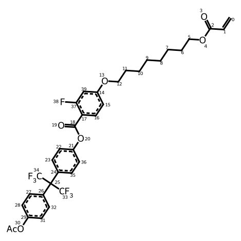 C=CC(=O)OCCCCCCCCOc1ccc(C(=O)Oc2ccc(C(c3ccc(OC(C)=O)cc3)(C(F)(F)F)C(F)(F)F)cc2)c(F)c1